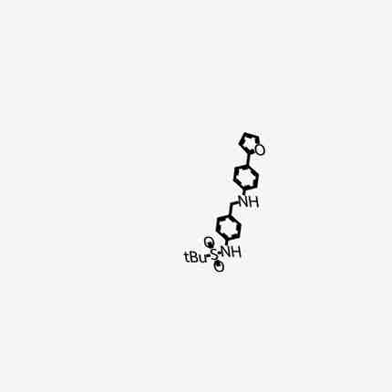 CC(C)(C)S(=O)(=O)Nc1ccc(CNc2ccc(-c3ccco3)cc2)cc1